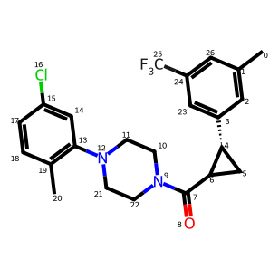 Cc1cc([C@@H]2CC2C(=O)N2CCN(c3cc(Cl)ccc3C)CC2)cc(C(F)(F)F)c1